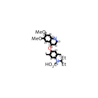 CCC(CC)N(C(=O)O)c1cc(C)c(Oc2ccnc3cc(OC)c(OC)cc23)cc1C